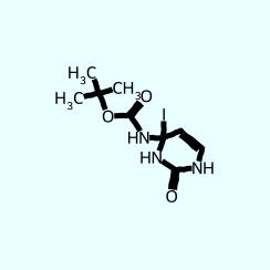 CC(C)(C)OC(=O)NC1(I)C=CNC(=O)N1